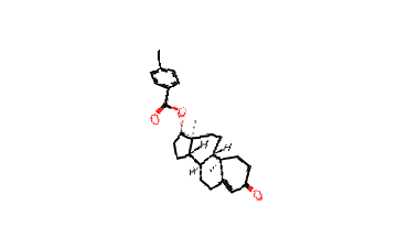 Cc1ccc(C(=O)O[C@H]2CC[C@H]3[C@@H]4CCC5=CC(=O)CC[C@]5(C)[C@H]4CC[C@]23C)cc1